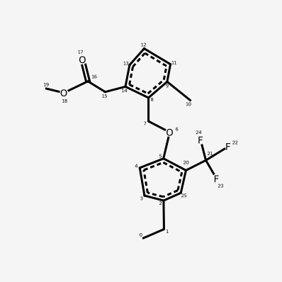 CCc1ccc(OCc2c(C)cccc2CC(=O)OC)c(C(F)(F)F)c1